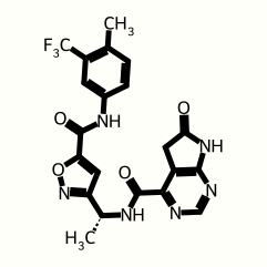 Cc1ccc(NC(=O)c2cc([C@@H](C)NC(=O)c3ncnc4c3CC(=O)N4)no2)cc1C(F)(F)F